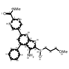 CNC(=O)c1ncc(-c2cc(-c3ccccc3)c3c(N)c([S+]([O-])CCCOC)sc3n2)cn1